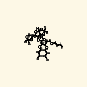 CCCCOCC1O[C@@H](O[C@@H]2[C@H]3OC(C)(C)O[C@H]3O[C@@H]2[C@H]2COC(C)(C)O2)C(OCCCC)[C@@H]1OCCCC